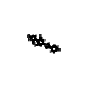 O=C1CCC(c2c(F)cc(N3CC(N4CCNCC4)C3)cc2F)C(=O)N1